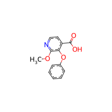 COc1nccc(C(=O)O)c1Oc1ccccc1